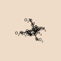 COc1ccccc1Oc1c(OCCOC(=O)CCCO[N+](=O)[O-])nc(-c2ccnc(-c3nnnn3C(C)OC(=O)OCCCCO[N+](=O)[O-])c2)nc1N(C(C)OC(=O)OCCCCO[N+](=O)[O-])S(=O)(=O)c1ccc(C)cn1